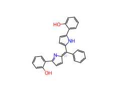 Oc1ccccc1C1=N/C(=C(/c2ccccc2)c2ccc(-c3ccccc3O)[nH]2)C=C1